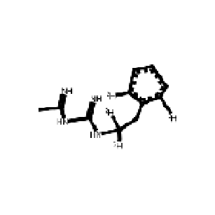 [2H]c1cccc([2H])c1CC([2H])([2H])NC(=N)NC(C)=N